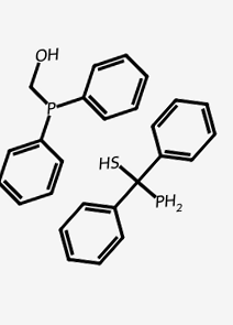 OCP(c1ccccc1)c1ccccc1.PC(S)(c1ccccc1)c1ccccc1